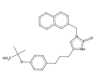 CC(C)(Oc1ccc(CCCc2cn(Cc3ccc4ccccc4c3)c(=O)[nH]2)cc1)C(=O)O